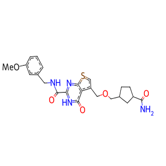 COc1cccc(CNC(=O)c2nc3scc(COCC4CCC(C(N)=O)C4)c3c(=O)[nH]2)c1